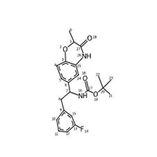 CC1Oc2ccc(C(Cc3cccc(F)c3)NC(=O)OC(C)(C)C)cc2NC1=O